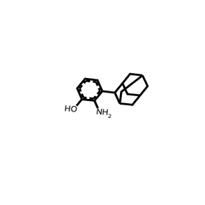 Nc1c(O)cccc1C1C2CC3CC(C2)CC1C3